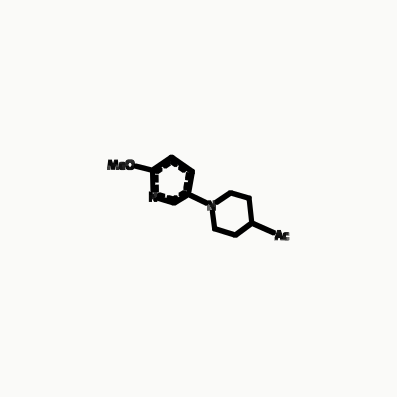 COc1ccc(N2CCC(C(C)=O)CC2)cn1